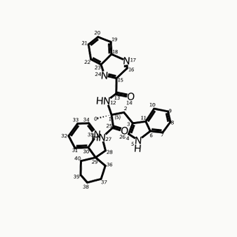 C[C@@](Cc1c[nH]c2ccccc12)(NC(=O)c1cnc2ccccc2n1)C(=O)NCC1(c2ccccn2)CCCCC1